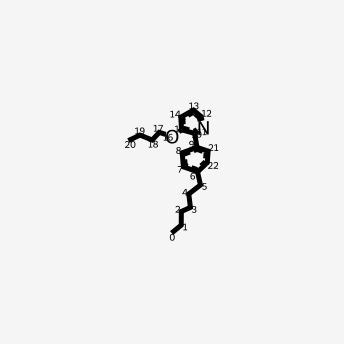 CCCCCCc1ccc(-c2ncccc2OCCCC)cc1